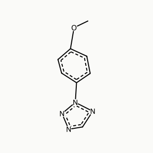 COc1ccc(-n2ncnn2)cc1